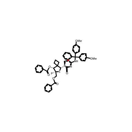 COc1ccc(C(Nc2ccn([C@@H]3S[C@@](F)(COC(=O)c4ccccc4)[C@H](OC(=O)c4ccccc4)C34CCC4)c(=O)n2)(c2ccccc2)c2ccc(OC)cc2)cc1